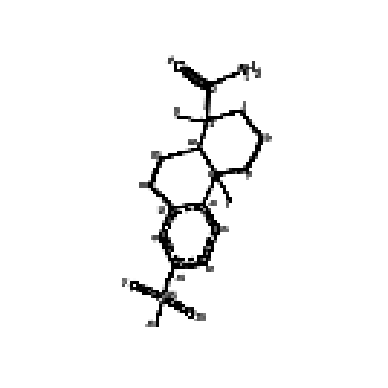 CC1(C(N)=O)CCCC2(C)c3ccc(S(C)(=O)=O)cc3CCC12